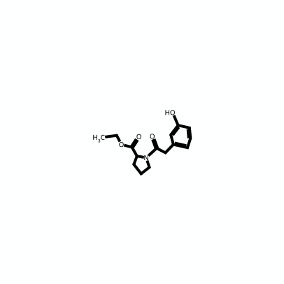 CCOC(=O)C1CCCN1C(=O)Cc1cccc(O)c1